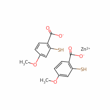 COc1ccc(C(=O)[O-])c(S)c1.COc1ccc(C(=O)[O-])c(S)c1.[Zn+2]